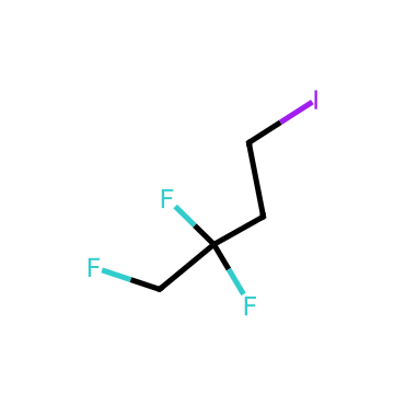 FCC(F)(F)CCI